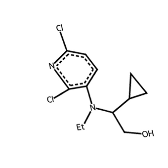 CCN(c1ccc(Cl)nc1Cl)C(CO)C1CC1